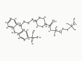 COC(C)(C)CCOC(C)(C)CC(=O)N1CCN(CCCN2c3ccccc3Sc3ccc(C(F)(F)F)cc32)CC1